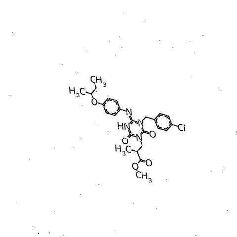 CC[C@H](C)Oc1ccc(/N=c2\[nH]c(=O)n(C[C@H](C)C(=O)OC)c(=O)n2Cc2ccc(Cl)cc2)cc1